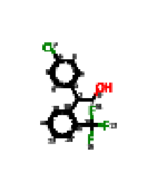 OCC(c1ccc(Cl)cc1)c1ccc[c]c1C(F)(F)F